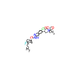 CC(C)(F)[C@@H]1C[C@H]1C(=O)Nc1cc2cc(C3CCN([C@@]4(C)COC[C@H]4O)CC3)c(Cl)cc2cn1